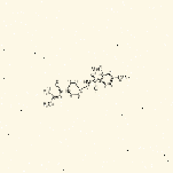 COc1ccc(S(=O)(=O)NCC2CCN(C(=O)OC(C(F)(F)F)C(F)(F)F)CC2)c(OC)c1